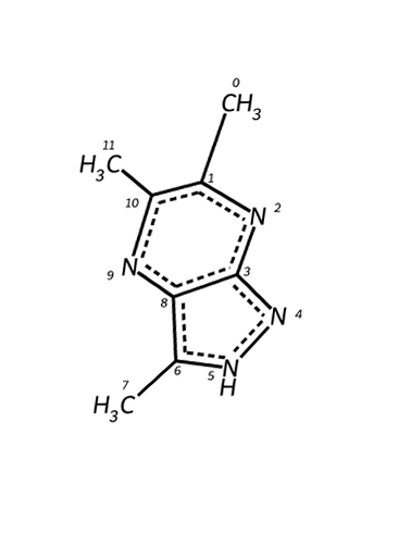 Cc1nc2n[nH]c(C)c2nc1C